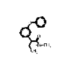 CCC(C(=O)NC)c1cccc(Oc2ccccc2)c1